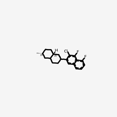 C[C@@H]1CC[C@@H]2CC(c3cc4cccc(F)c4c(F)c3Cl)CCC2C1